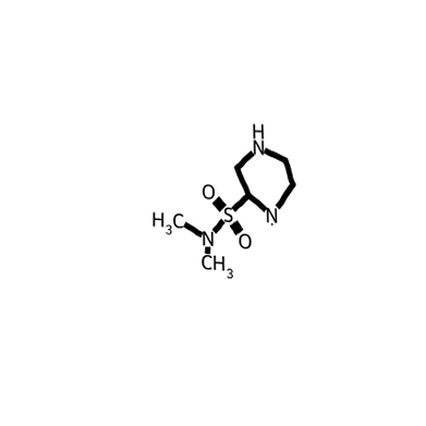 CN(C)S(=O)(=O)C1CNCC[N]1